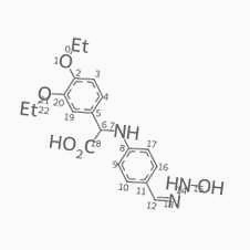 CCOc1ccc(C(Nc2ccc(/C=N\NO)cc2)C(=O)O)cc1OCC